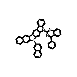 c1ccc(-c2nc(-n3c4ccccc4c4cc5c6cc7ccccc7cc6n(-c6ccc7ccccc7c6)c5cc43)nc3ccccc23)cc1